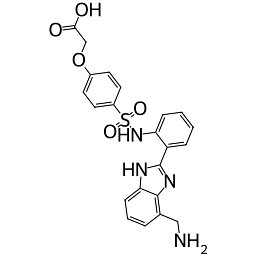 NCc1cccc2[nH]c(-c3ccccc3NS(=O)(=O)c3ccc(OCC(=O)O)cc3)nc12